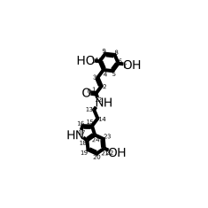 O=C(/C=C/c1cc(O)ccc1O)NCCc1c[nH]c2ccc(O)cc12